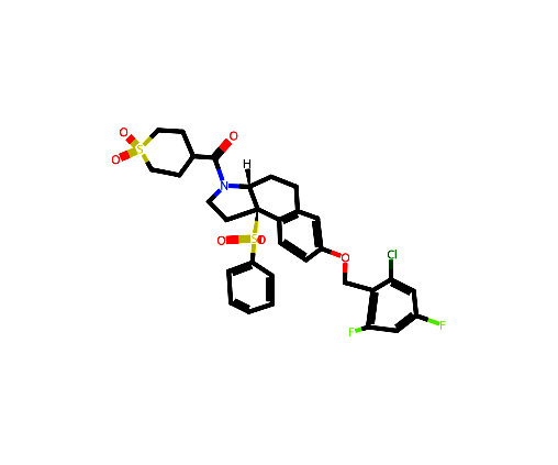 O=C(C1CCS(=O)(=O)CC1)N1CC[C@@]2(S(=O)(=O)c3ccccc3)c3ccc(OCc4c(F)cc(F)cc4Cl)cc3CC[C@@H]12